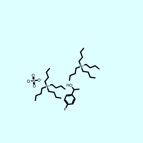 CC(O)c1ccc(F)cc1.CCCC[N+](CCCC)(CCCC)CCCC.CCCC[N+](CCCC)(CCCC)CCCC.O=S(=O)([O-])[O-]